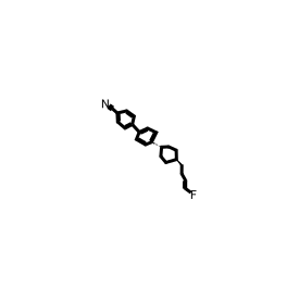 N#Cc1ccc(-c2ccc([C@H]3CC[C@H](CC/C=C/F)CC3)cc2)cc1